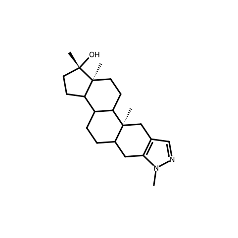 Cn1ncc2c1CC1CCC3C(CC[C@@]4(C)C3CC[C@]4(C)O)[C@@]1(C)C2